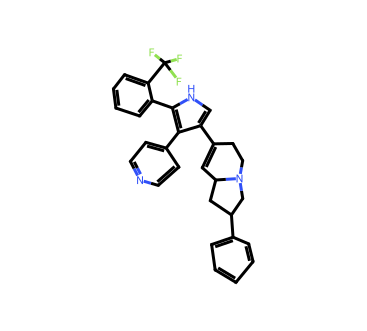 FC(F)(F)c1ccccc1-c1[nH]cc(C2=CC3CC(c4ccccc4)CN3CC2)c1-c1ccncc1